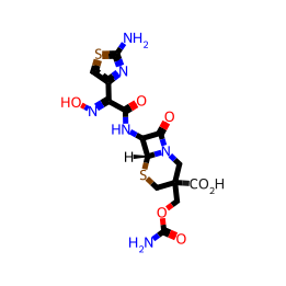 NC(=O)OCC1(C(=O)O)CS[C@@H]2C(NC(=O)C(=NO)c3csc(N)n3)C(=O)N2C1